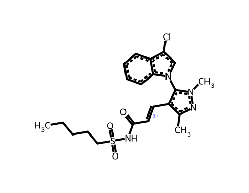 CCCCCS(=O)(=O)NC(=O)/C=C/c1c(C)nn(C)c1-n1cc(Cl)c2ccccc21